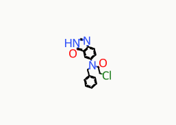 O=C(CCl)N(Cc1ccccc1)c1ccc2nc[nH]c(=O)c2c1